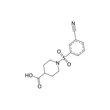 N#Cc1cccc(S(=O)(=O)N2CCC(C(=O)O)CC2)c1